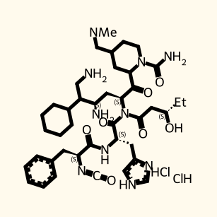 CC[C@H](O)CC(=O)N(C(=O)[C@H](Cc1c[nH]cn1)NC(=O)[C@H](Cc1ccccc1)N=C=O)[C@@H](C[C@H](N)C(CN)C1CCCCC1)C(=O)C1CC(CNC)CCN1C(N)=O.Cl.Cl